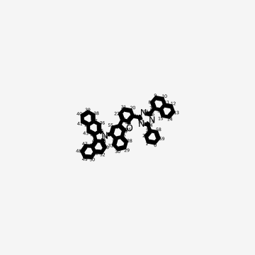 c1ccc(-c2nc(-c3cccc4ccccc34)nc(-c3cccc4c3oc3c5ccccc5c(-n5c6cc7ccccc7cc6c6c7ccccc7ccc65)cc43)n2)cc1